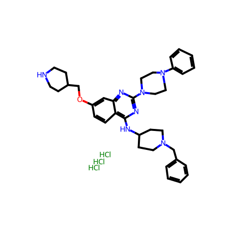 Cl.Cl.Cl.c1ccc(CN2CCC(Nc3nc(N4CCN(c5ccccc5)CC4)nc4cc(OCC5CCNCC5)ccc34)CC2)cc1